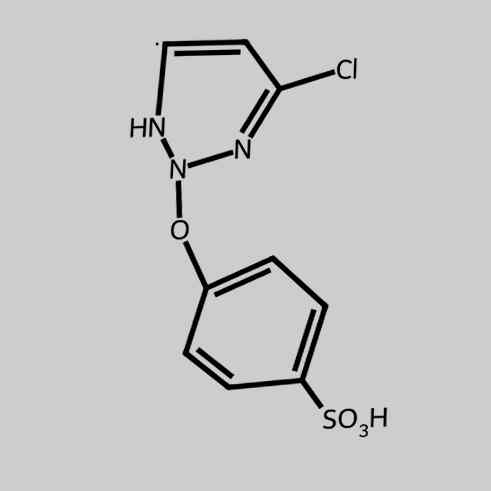 O=S(=O)(O)c1ccc(ON2N=C(Cl)C=[C]N2)cc1